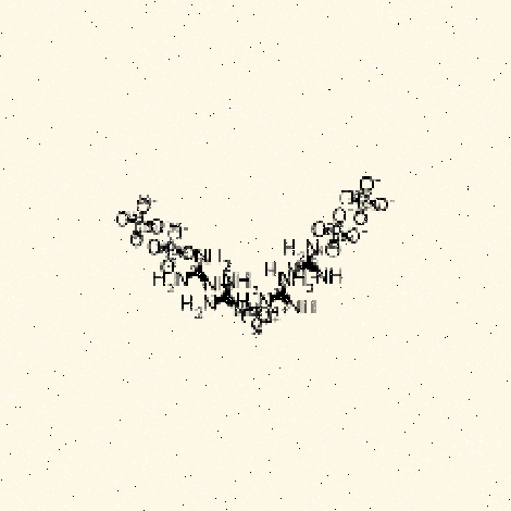 N=C(N)N.N=C(N)N.N=C(N)N.N=C(N)N.O=P([O-])([O-])[O-].O=P([O-])([O-])[O-].O=P([O-])([O-])[O-].O=P([O-])([O-])[O-].[C+4].[C+4].[C+4]